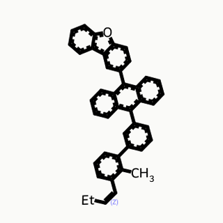 CC/C=C\c1cccc(-c2cccc(-c3c4ccccc4c(-c4ccc5oc6ccccc6c5c4)c4ccccc34)c2)c1C